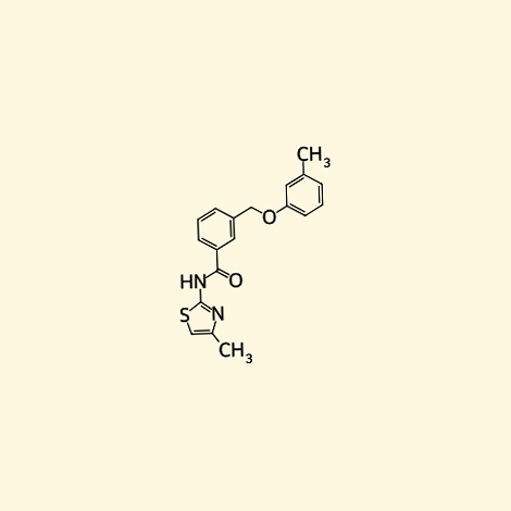 Cc1cccc(OCc2cccc(C(=O)Nc3nc(C)cs3)c2)c1